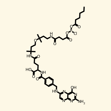 CCCCCC(=O)OP(Cl)OC(=O)CCC(=O)NCCC(C)(C)OCCC(C)(C)NC(=O)CCC(NC(=O)c1ccc(CNc2cnc3nc(N)nc(O)c3n2)cc1)C(=O)O